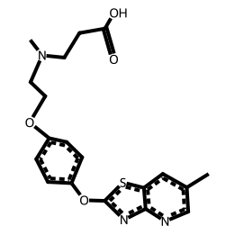 Cc1cnc2nc(Oc3ccc(OCCN(C)CCC(=O)O)cc3)sc2c1